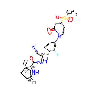 CS(=O)(=O)c1ccn(-c2ccc(C[C@@H](C#N)NC(=O)[C@H]3N[C@@H]4CC[C@H]3C4)c(F)c2)c(=O)c1